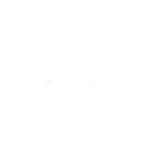 Brc1ccc(CCCN2CCOCC2)cc1